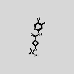 CC(C)(C)[Si](C)(C)O[C@H]1C[C@@H](C(=O)Nc2cc(I)c(Cl)cn2)C1